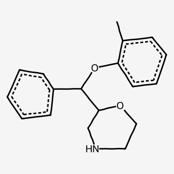 Cc1ccccc1OC(c1ccccc1)C1CNCCO1